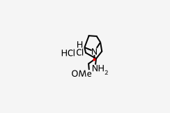 COCCN1C2CCC1CC(N)C2.Cl.Cl